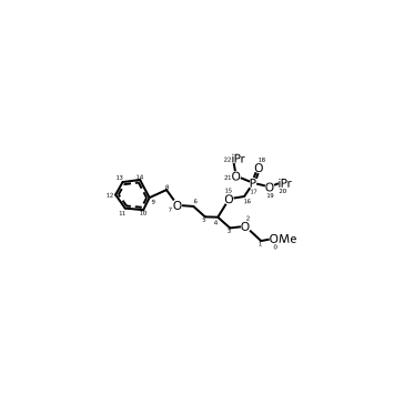 COCOCC(CCOCc1ccccc1)OCP(=O)(OC(C)C)OC(C)C